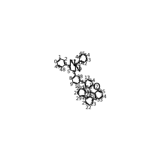 c1ccc(-c2cc(-c3cccc(-c4ccc5c(c4)C(c4ccccc4)(c4ccccc4)c4ccccc4O5)c3)nc(-c3ccccc3)n2)cc1